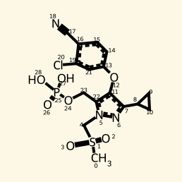 CS(=O)(=O)Cn1nc(C2CC2)c(Oc2ccc(C#N)c(Cl)c2)c1COP(=O)(O)O